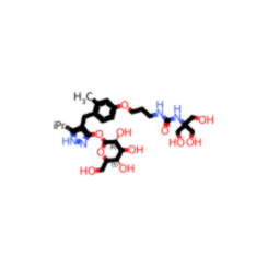 Cc1cc(OCCCNC(=O)NC(CO)(CO)CO)ccc1Cc1c(OC2OC(CO)[C@@H](O)C(O)[C@H]2O)n[nH]c1C(C)C